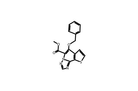 COC(=O)c1c(OCc2ccccc2)c2ccsc2c2ncnn12